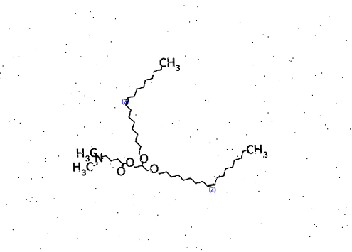 CCCCCCCC/C=C\CCCCCCCCOCC(COC(=O)CCCN(C)CC)OCCCCCCCC/C=C\CCCCCCCC